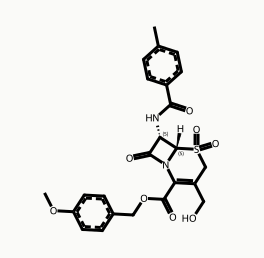 COc1ccc(COC(=O)C2=C(CO)CS(=O)(=O)[C@H]3[C@@H](NC(=O)c4ccc(C)cc4)C(=O)N23)cc1